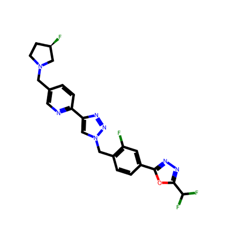 Fc1cc(-c2nnc(C(F)F)o2)ccc1Cn1cc(-c2ccc(CN3CC[C@@H](F)C3)cn2)nn1